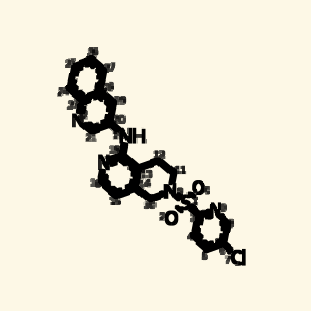 O=S(=O)(c1ccc(Cl)cn1)N1CCc2c(ccnc2Nc2cnc3ccccc3c2)C1